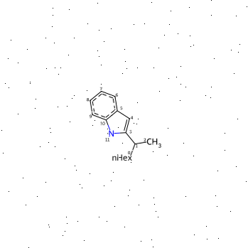 CCCCCCC(C)C1=Cc2ccccc2[N]1